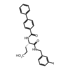 O=C(O)CC[C@H](NC(=O)c1ccc(-c2ccccc2)cc1)C(=O)NCc1cccc(I)c1